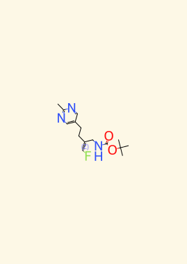 Cc1ncc(CC/C(=C/F)CNC(=O)OC(C)(C)C)cn1